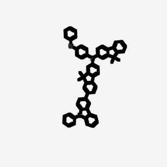 CC1(C)c2ccccc2-c2ccc(N(c3ccc(Oc4ccccc4)cc3)c3ccc4c(c3)C(C)(C)c3cc(-c5ccc6c(c5)c5ccccc5n6-c5ccccc5)ccc3-4)cc21